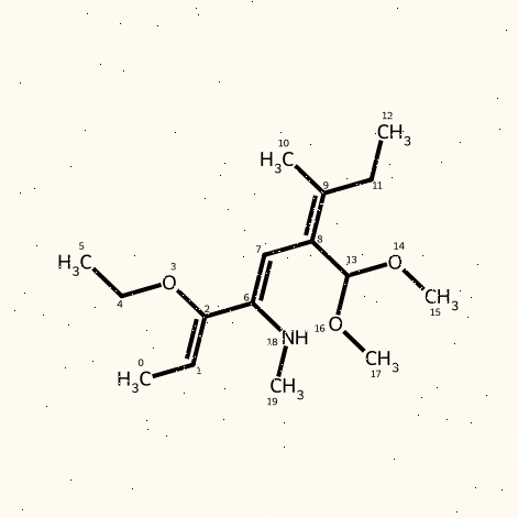 CC=C(OCC)/C(=C/C(=C(\C)CC)C(OC)OC)NC